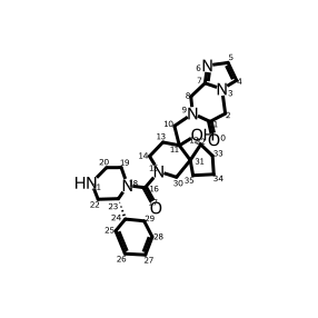 O=C1Cn2ccnc2CN1CC1(O)CCN(C(=O)N2CCNC[C@H]2C2C=CC=CC2)CC12CCCC2